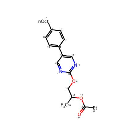 CCCCCCCCc1ccc(-c2cnc(OCC(OC(=O)CC)C(F)(F)F)nc2)cc1